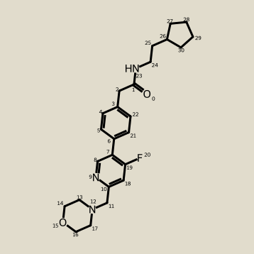 O=C(Cc1ccc(-c2cnc(CN3CCOCC3)cc2F)cc1)NCCC1CCCC1